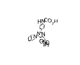 CC(C)S(=O)(=O)Cc1cc(N2CCOCC2)nc(-c2ccc(NC(=O)O)cc2)n1